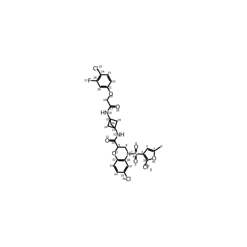 Cc1cc(S(=O)(=O)N2CC(C(=O)NC34CC(NC(=O)COc5ccc(Cl)c(F)c5)(C3)C4)Oc3ccc(Cl)cc32)c(C(F)(F)F)o1